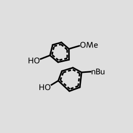 CCCCc1ccc(O)cc1.COc1ccc(O)cc1